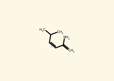 C=C(N)/C=C\C(C)C